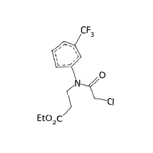 CCOC(=O)CCN(C(=O)CCl)c1cccc(C(F)(F)F)c1